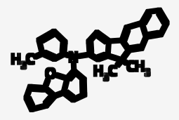 Cc1cccc(N(c2ccc3c(c2)C(C)(C)c2cc4ccccc4cc2-3)c2cccc3c2oc2ccccc23)c1